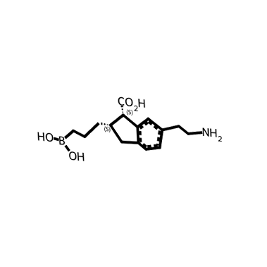 NCCc1ccc2c(c1)[C@@H](C(=O)O)[C@@H](CCCB(O)O)C2